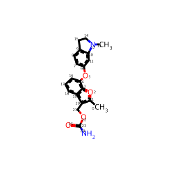 Cc1oc2c(Oc3ccc4c(c3)N(C)CC4)cccc2c1COC(N)=O